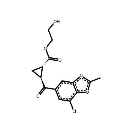 Cc1nc2cc(C(=O)[C@H]3C[C@@H]3C(=O)OCCO)cc(Cl)c2o1